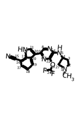 CN1CCC(Nc2ncc(-c3c[nH]c4c(C#N)cccc34)nc2OC(F)F)C1